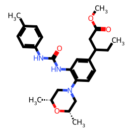 CCC(CC(=O)OC)c1ccc(N2C[C@@H](C)O[C@@H](C)C2)c(NC(=O)Nc2ccc(C)cc2)c1